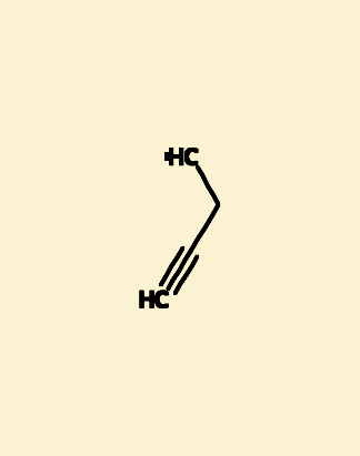 [CH]CC#C